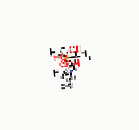 C=C(O)C(C(C)CC/C=C(\C)CCCC(C)C)P(=O)(O)O